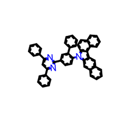 c1ccc(-c2cc(-c3ccccc3)nc(-c3ccc(-n4c5cc6ccccc6cc5c5c6ccccc6ccc54)c(-c4ccccc4)c3)n2)cc1